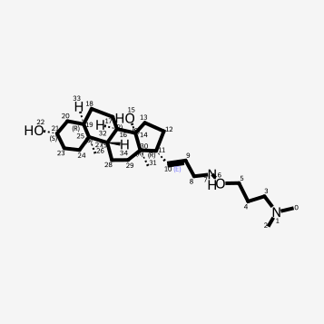 CN(C)CCCONC/C=C/[C@H]1CC[C@]2(O)[C@@H]3CC[C@@H]4C[C@@H](O)CC[C@]4(C)[C@H]3CC[C@]12C